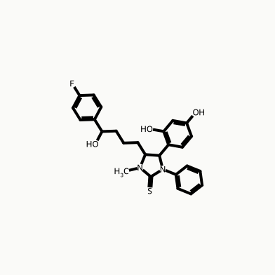 CN1C(=S)N(c2ccccc2)C(c2ccc(O)cc2O)C1CCCC(O)c1ccc(F)cc1